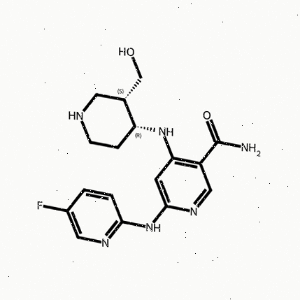 NC(=O)c1cnc(Nc2ccc(F)cn2)cc1N[C@@H]1CCNC[C@@H]1CO